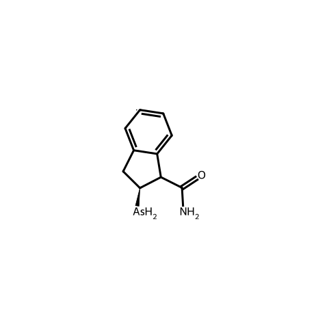 NC(=O)C1c2cc[c]cc2C[C@@H]1[AsH2]